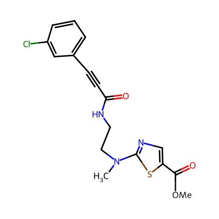 COC(=O)c1cnc(N(C)CCNC(=O)C#Cc2cccc(Cl)c2)s1